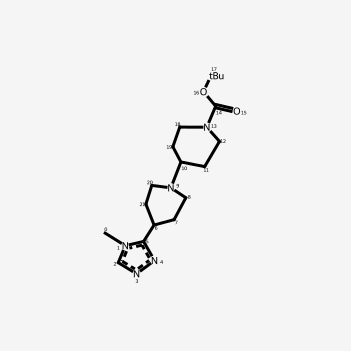 Cn1cnnc1C1CCN(C2CCN(C(=O)OC(C)(C)C)CC2)CC1